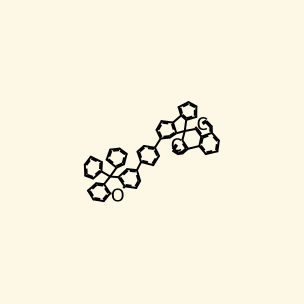 c1ccc(C2(c3ccccc3)c3ccccc3Oc3ccc(-c4ccc(-c5ccc6c(c5)C5(c7ccccc7-6)c6ccccc6-c6cccc7cccc5c67)cc4)cc32)cc1